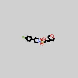 O=C(CC1CCOCC1)CS(=O)(=O)N1CCC(c2ccc(F)cc2)CC1